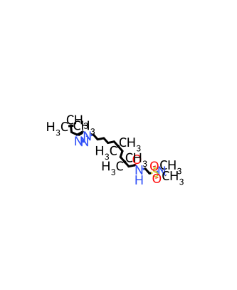 CN(C)S(=O)(=O)CCNC(=O)CC(C)(C)CCC(C)(C)CCCCCn1cc(CC(C)(C)C)nn1